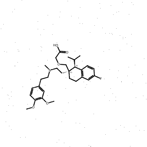 COc1ccc(CCN(C)CC[C@@]2(COCC(=O)O)CCc3cc(F)ccc3[C@@H]2C(C)C)cc1OC